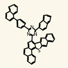 c1ccc2cc(-c3nc(-c4ccc(-c5cccc6ccccc56)cc4)nc(-c4cc5ccc6ccccc6c5c5sc6cc7ccccc7cc6c45)n3)ccc2c1